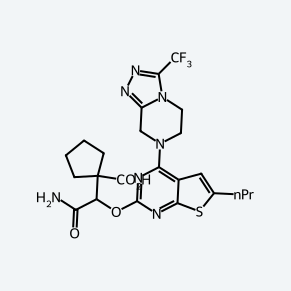 CCCc1cc2c(N3CCn4c(nnc4C(F)(F)F)C3)nc(OC(C(N)=O)C3(C(=O)O)CCCC3)nc2s1